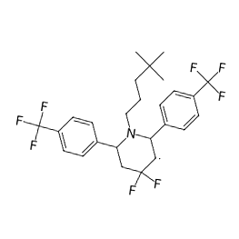 CC(C)(C)CCCN1C(c2ccc(C(F)(F)F)cc2)[CH]C(F)(F)CC1c1ccc(C(F)(F)F)cc1